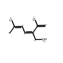 C=C(Cl)/C(=C\C=C(/C)Cl)CO